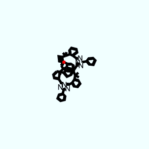 CC1(C)c2ccc3c(c2)C24c5cc(ccc5-c5ccc(cc52)-c2nc(-c5ccccc5)nc(n2)-c2ccccc2C(C)(C)c2ccc-3c4c2)-c2nc(-c3ccccc3)nc(n2)-c2ccccc21